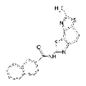 Cc1nc2c(ccc3nc(NC(=O)c4ccc5ccccc5c4)sc32)s1